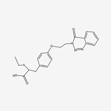 CCSC(Cc1ccc(OCCn2nnc3ccccc3c2=O)cc1)C(=O)O